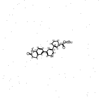 CN1C(=O)CCc2cc(-c3cncc(C4=CN(C(=O)OC(C)(C)C)CCC4)c3)ccc21